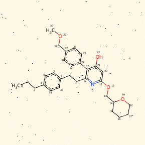 CCCc1ccc(CCc2nc(OCC3CCCCO3)cc(O)c2-c2ccc(COC)cc2)cc1